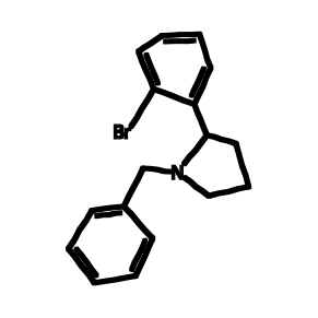 Brc1ccccc1C1CCCN1Cc1ccccc1